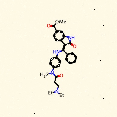 CCN(CC)CCC(=O)N(C)c1ccc(NC(=C2C(=O)Nc3cc(C(=O)OC)ccc32)c2ccccc2)cc1